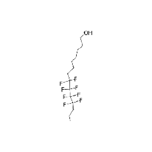 CCCC(F)(F)C(F)(F)C(F)(F)C(F)(F)CCCCCCCO